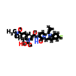 CN(C)C(=O)/C=C/CC[C@@H](CN(C)C(=O)O)C(=O)Nc1cccn(Cc2cc3cc(F)ccc3n2CC2CC2)c1=O